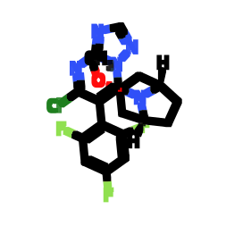 CO[C@H]1C[C@H]2CC[C@@H](C1)N2c1c(-c2c(F)cc(F)cc2F)c(Cl)nc2ncnn12